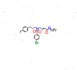 CCCN(C)C(=O)/C=C/CN(CCCc1ccc(I)cc1)S(=O)(=O)c1ccc(Br)cc1